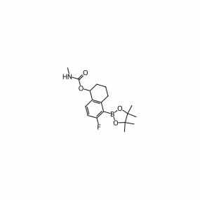 CNC(=O)OC1CCCc2c1ccc(F)c2B1OC(C)(C)C(C)(C)O1